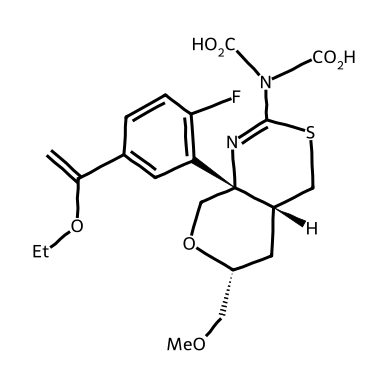 C=C(OCC)c1ccc(F)c([C@]23CO[C@@H](COC)C[C@H]2CSC(N(C(=O)O)C(=O)O)=N3)c1